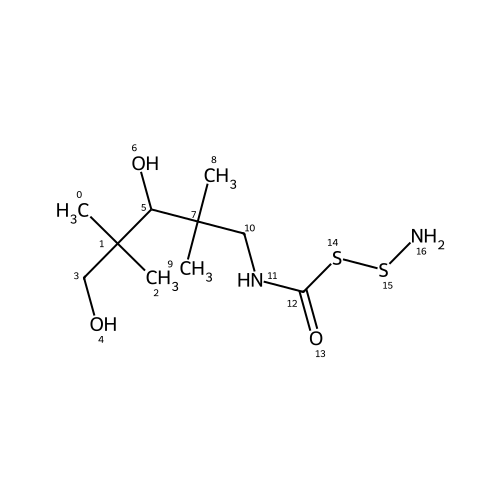 CC(C)(CO)C(O)C(C)(C)CNC(=O)SSN